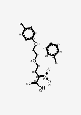 Cc1ccc(OCCOCCC(C(=O)O)=S(=O)=O)cc1.Cc1ccccc1